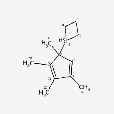 CC1=[C]C(C)([SiH]2CCC2)C(C)=C1C